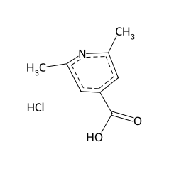 Cc1cc(C(=O)O)cc(C)n1.Cl